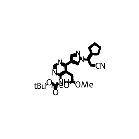 COC(Cc1c(NC(=O)OC(C)(C)C)ncnc1-c1cnn(C(CC#N)=C2CCCC2)c1)OC